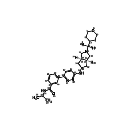 [2H]C([2H])(C1CCOCC1)N1C[C@H]2CC(Nc3ccc(-c4cccc(C(=O)NC(C)C)c4)nn3)C[C@H]2C1